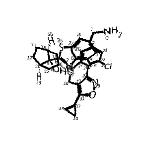 NCc1cc(F)c2nc([C@]3(O)[C@@H]4CC[C@H]3C[C@H](OCc3c(-c5c(Cl)cccc5Cl)noc3C3CC3)C4)sc2c1